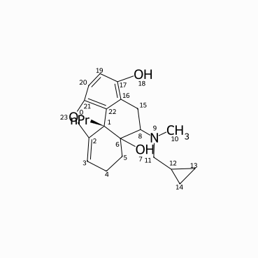 CCC[C@]12C3=CCCC1(O)C(N(C)CC1CC1)Cc1c(O)ccc(c12)O3